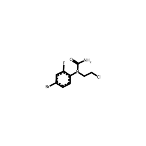 NC(=O)N(CCCl)c1ccc(Br)cc1F